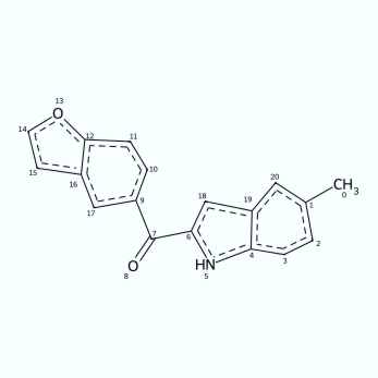 Cc1ccc2[nH]c(C(=O)c3ccc4occc4c3)cc2c1